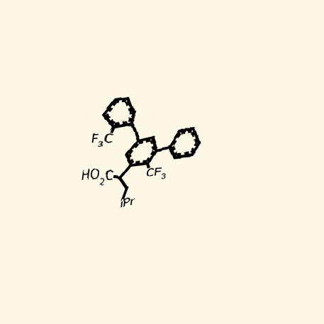 CC(C)CC(C(=O)O)c1cc(-c2ccccc2C(F)(F)F)cc(-c2ccccc2)c1C(F)(F)F